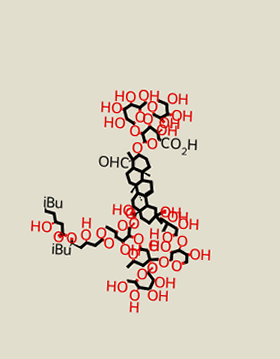 CC[C@H](C)CC[C@H](O)CC(=O)O[C@@H](C[C@H](O)CC(=O)O[C@@H]1C(C)O[C@@H](OC(=O)[C@]23CCC(C)(C)CC2C2=CCC4[C@@]5(C)CC[C@H](O[C@@H]6OC(C(=O)O)[C@H](O)C(O[C@@H]7OC[C@@H](O)C(O)C7O)C6O[C@@H]6OC(CO)[C@H](O)C(O)C6O)[C@@](C)(C=O)C5CC[C@@]4(C)[C@]2(C)C[C@H]3O)C(O[C@@H]2OC(C)CC(CO[C@H]3OCC(O)[C@H](O[C@@H]4OCC(O)(CO)C4O)C3O)(O[C@@H]3OC(CO)[C@@H](O)C(O)C3O)C2O)C1O)[C@@H](C)CC